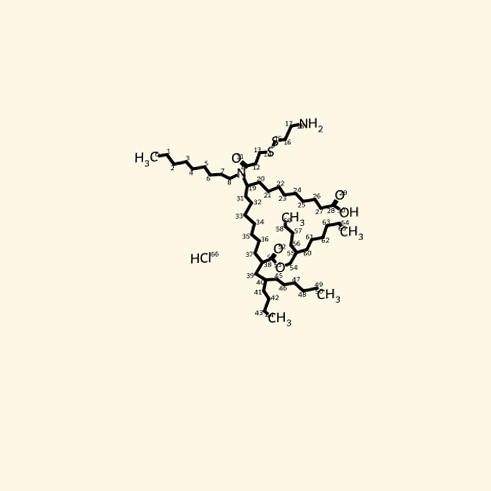 CCCCCCCCCN(C(=O)CCSSCCN)C(CCCCCCCCC(=O)O)CCCCCCCC(CC(CCCC)CCCCCC)C(=O)OCC(CCCC)CCCCCC.Cl